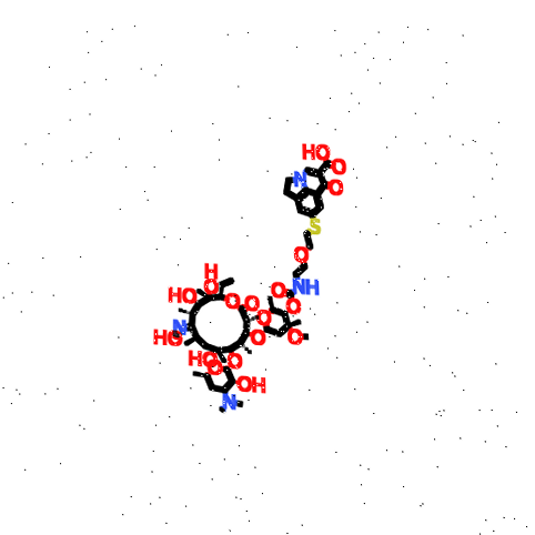 CC[C@H]1OC(=O)[C@H](C)[C@@H](O[C@H]2C[C@@](C)(OC)[C@@H](OC(=O)NCCOCCSc3cc4c5c(c3)c(=O)c(C(=O)O)cn5CC4)[C@H](C)O2)[C@H](C)[C@@H](OC2O[C@H](C)C[C@H](N(C)C)[C@H]2O)[C@](C)(O)C[C@@H](C)/C(=N\O)[C@H](C)[C@@H](O)[C@]1(C)O